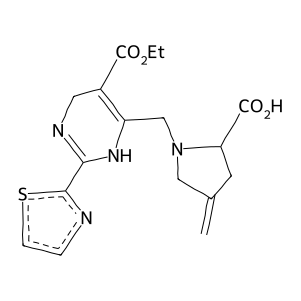 C=C1CC(C(=O)O)N(CC2=C(C(=O)OCC)CN=C(c3nccs3)N2)C1